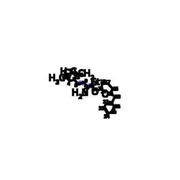 C=C(C)C(C=C(C)C)/C=C/C(N)=C(\CC)OC1CCCC(Cc2ccccc2)O1